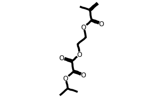 C=C(C)C(=O)OCCOC(=O)C(=O)OC(C)C